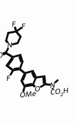 COc1cc(-c2ccc(C(=O)N3CCC(F)(F)CC3)cc2F)cc2cc(N(C)C(=O)O)oc12